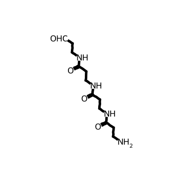 NCCC(=O)NCCC(=O)NCCC(=O)NCCC=O